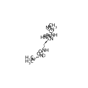 CCCNc1nc(Nc2cnc3c(cnn3C)c2)ncc1C#CCCCNC(=O)C1CCCN1C(=O)C=CCN(C)C